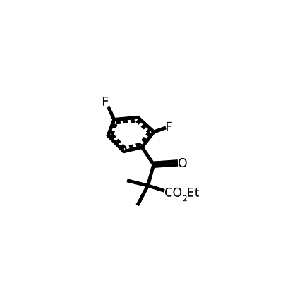 CCOC(=O)C(C)(C)C(=O)c1ccc(F)cc1F